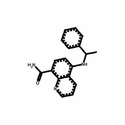 CC(Nc1ccc(C(N)=O)c2ncccc12)c1ccccc1